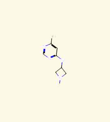 CC(=O)N1CC(Nc2cc(C(C)C)ncn2)C1